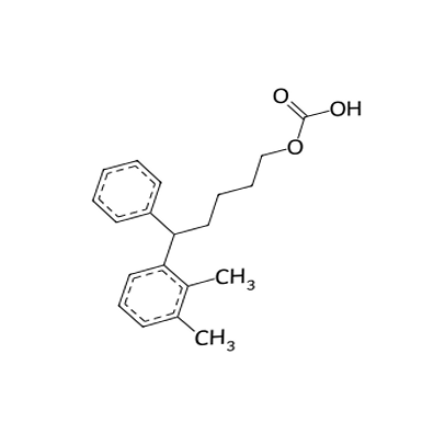 Cc1cccc(C(CCCCOC(=O)O)c2ccccc2)c1C